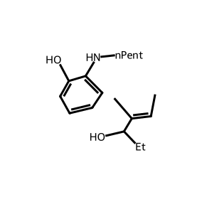 CC=C(C)C(O)CC.CCCCCNc1ccccc1O